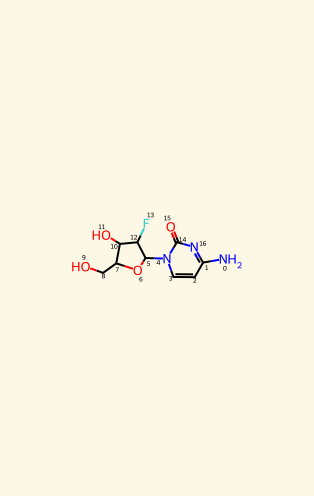 Nc1ccn(C2OC(CO)C(O)C2F)c(=O)n1